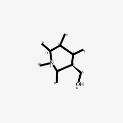 CC1C(C)[C@@H](CO)C(C)N(C)C1C